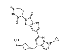 O=C1CCC(N2Cc3cc(-c4cc(CN5CC(CO)C5)c5ccn(C6CC6)c5n4)ccc3C2=O)C(=O)N1